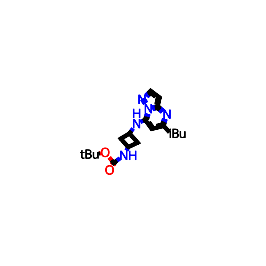 CCC(C)c1cc(NC2CC(NC(=O)OC(C)(C)C)C2)n2nccc2n1